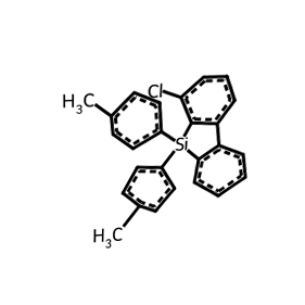 Cc1ccc([Si]2(c3ccc(C)cc3)c3ccccc3-c3cccc(Cl)c32)cc1